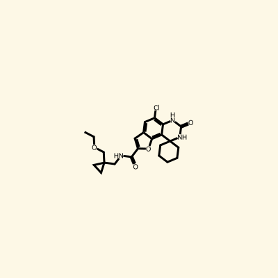 CCOCC1(CNC(=O)c2cc3cc(Cl)c4c(c3o2)C2(CCCCC2)NC(=O)N4)CC1